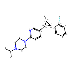 CC(C)N1CCN(c2ccc([C@H]3[C@H](C)[C@@H]3c3ccccc3F)cn2)CC1